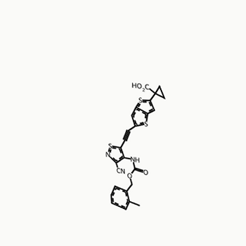 Cc1ccccc1COC(=O)Nc1c(C#N)nsc1C#Cc1cc2sc(C3(C(=O)O)CC3)cc2s1